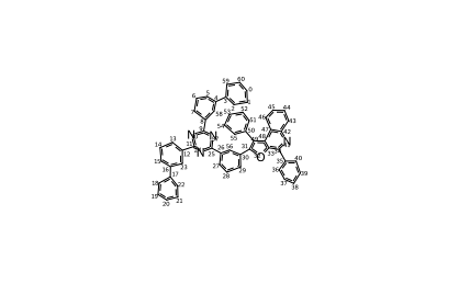 c1ccc(-c2cccc(-c3nc(-c4cccc(-c5ccccc5)c4)nc(-c4cccc(-c5oc6c(-c7ccccc7)nc7ccccc7c6c5-c5ccccc5)c4)n3)c2)cc1